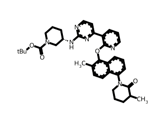 Cc1ccc2c(N3CCCC(C)C3=O)cccc2c1Oc1ncccc1-c1ccnc(N[C@H]2CCCN(C(=O)OC(C)(C)C)C2)n1